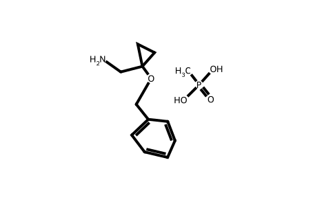 CP(=O)(O)O.NCC1(OCc2ccccc2)CC1